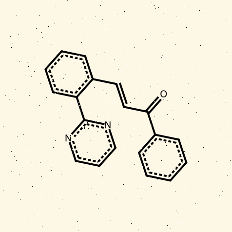 O=C(C=Cc1ccccc1-c1ncccn1)c1ccccc1